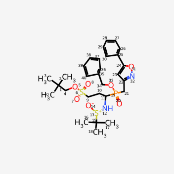 CC(C)(C)COS(=O)(=O)CCC(N[S+]([O-])C(C)(C)C)P(=O)(Cc1cc(-c2ccccc2)on1)OCc1ccccc1